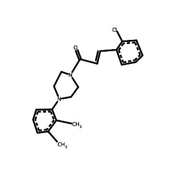 Cc1cccc(N2CCN(C(=O)C=Cc3ccccc3Cl)CC2)c1C